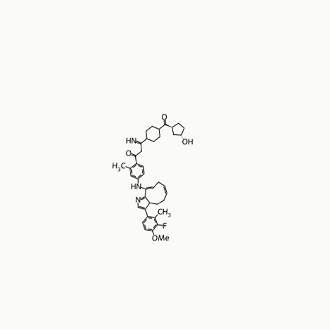 COc1ccc(C2=CN=C3/C(Nc4ccc(C(=O)CC(=N)C5CCC(C(=O)[C@H]6CC[C@H](O)C6)CC5)c(C)c4)=C/C/C=C\CCC23)c(C)c1F